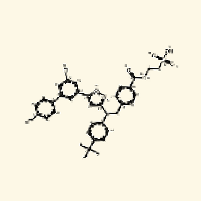 CC(C)(C)c1ccc(C(Cc2ccc(C(=O)NCCS(=O)(=O)O)cc2)c2cc(-c3cc(Cl)cc(-c4ccc(F)cc4)c3)on2)cc1